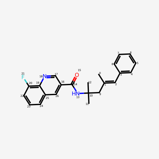 C/C(=C\c1ccccc1)CC(C)(C)NC(=O)c1cnc2c(F)cccc2c1